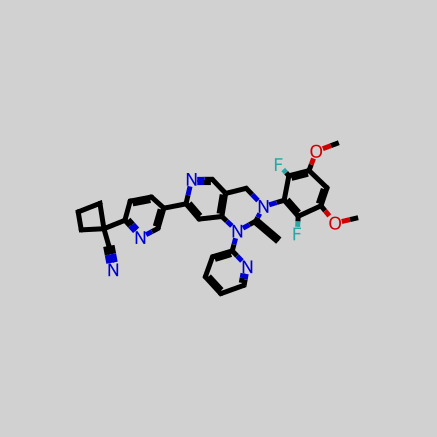 C=C1N(c2c(F)c(OC)cc(OC)c2F)Cc2cnc(-c3ccc(C4(C#N)CCC4)nc3)cc2N1c1ccccn1